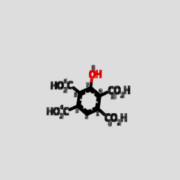 O=C(O)c1cc(C(=O)O)c(C(=O)O)c(O)c1C(=O)O